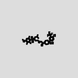 COc1cc(C)c(S(=O)(=O)N(CCOCC(=O)N2CCC(O)(c3ccc(Cl)c(C(F)(F)F)c3)CC2)CC(C)C)c(C)c1C